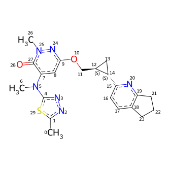 Cc1nnc(N(C)c2cc(OC[C@H]3C[C@@H]3c3ccc4c(n3)CCC4)nn(C)c2=O)s1